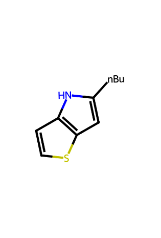 CCCCc1cc2sccc2[nH]1